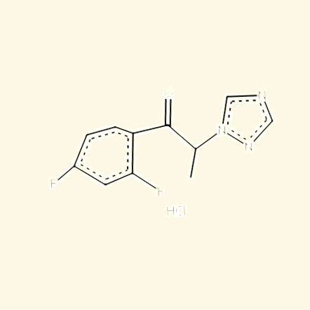 CC(C(=O)c1ccc(F)cc1F)n1cncn1.Cl